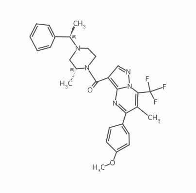 COc1ccc(-c2nc3c(C(=O)N4CCN([C@H](C)c5ccccc5)C[C@H]4C)cnn3c(C(F)(F)F)c2C)cc1